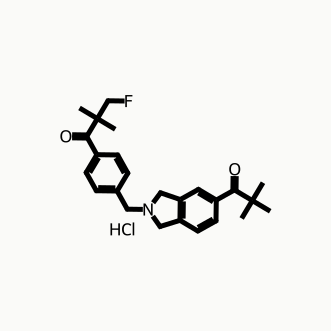 CC(C)(C)C(=O)c1ccc2c(c1)CN(Cc1ccc(C(=O)C(C)(C)CF)cc1)C2.Cl